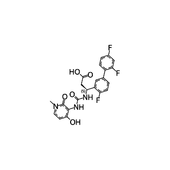 Cn1ccc(O)c(NC(=O)N[C@@H](CC(=O)O)c2cc(-c3ccc(F)cc3F)ccc2F)c1=O